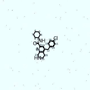 O=C(NC1CCCCC1)c1cc(Cc2ccc(Cl)cc2)c2c(n1)CNCC2